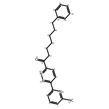 [C-]#[N+]c1cccc(-c2ccc(C(=O)CCCCCCc3ccccc3)nn2)n1